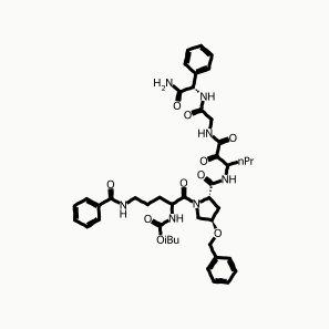 CCCC(NC(=O)[C@@H]1C[C@@H](OCc2ccccc2)CN1C(=O)C(CCCNC(=O)c1ccccc1)NC(=O)OCC(C)C)C(=O)C(=O)NCC(=O)N[C@H](C(N)=O)c1ccccc1